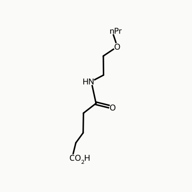 CCCOCCNC(=O)CCCC(=O)O